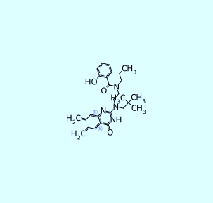 C=C/C=c1/nc(N(CCN(CCC)C(=O)c2ccccc2O)CC(C)(C)C)[nH]c(=O)/c1=C/C=C